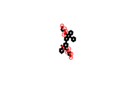 Cc1c2ccccc2c(C(=O)OC2COC(=O)C2)c2ccc(-c3ccc4c(C(=O)OC5CCC(=O)O5)c5ccccc5c(-c5ccccc5)c4c3)cc12